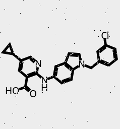 O=C(O)c1cc(C2CC2)cnc1Nc1ccc2c(ccn2Cc2cccc(Cl)c2)c1